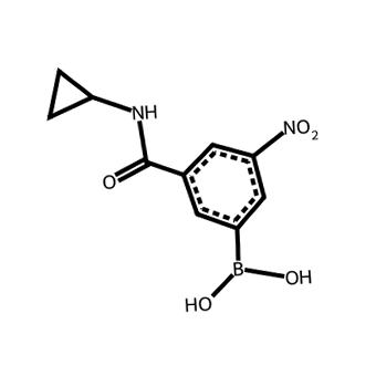 O=C(NC1CC1)c1cc(B(O)O)cc([N+](=O)[O-])c1